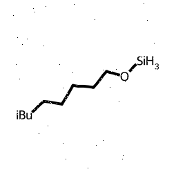 CCC(C)CCCCCO[SiH3]